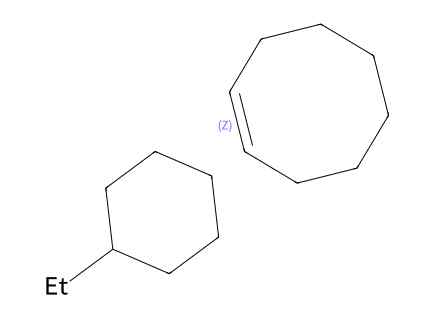 C1=C\CCCCCC/1.CCC1CCCCC1